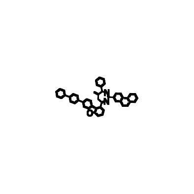 C=C1CC(c2cccc3oc4cc(-c5ccc(-c6ccccc6)cc5)ccc4c23)=NC(c2ccc3c(ccc4ccccc43)c2)=NC1c1ccccc1